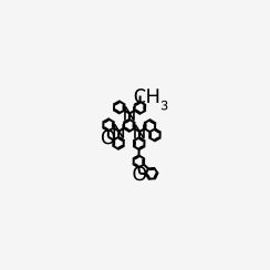 Cc1cccc(N(c2ccccc2)c2cc(N3c4ccccc4Oc4ccccc43)cc(N(c3ccc(-c4ccc5oc6ccccc6c5c4)cc3)c3cccc4ccccc34)c2)c1